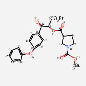 CCOC(=O)C(OC(=O)C1CCN(C(=O)OC(C)(C)C)C1)C(=O)c1ccc(Oc2ccccc2)cc1